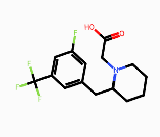 O=C(O)CN1CCCCC1Cc1cc(F)cc(C(F)(F)F)c1